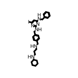 Ic1cc(NCc2ccccc2)nc(NCc2ccc(CNCCCNC3CCCCC3)cc2)n1